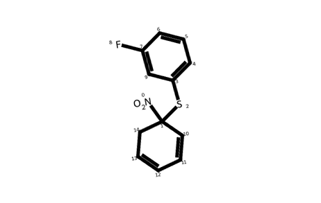 O=[N+]([O-])C1(Sc2cccc(F)c2)C=CC=CC1